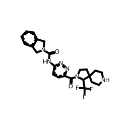 O=C(Nc1ccc(C(=O)N2CCC3(CCNCC3)C2C(F)(F)F)nn1)N1Cc2ccccc2C1